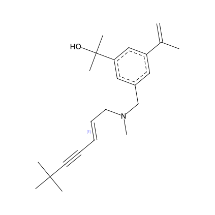 C=C(C)c1cc(CN(C)C/C=C/C#CC(C)(C)C)cc(C(C)(C)O)c1